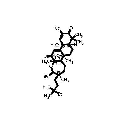 CCC(C)(C)CC[C@@]1(C)CC[C@@]2(C)[C@]3(C)CC[C@H]4C(C)(C)C(=O)C(C#N)=C[C@]4(C)C3=CC(=O)[C@@]2(C)OC1C(C)C